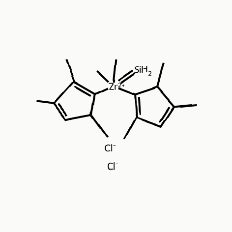 CC1=CC(C)[C]([Zr+2]([CH3])([CH3])(=[SiH2])[C]2=C(C)C=C(C)C2C)=C1C.[Cl-].[Cl-]